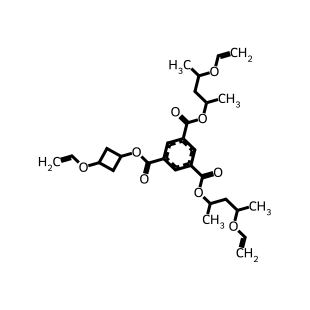 C=COC(C)CC(C)OC(=O)c1cc(C(=O)OC(C)CC(C)OC=C)cc(C(=O)OC2CC(OC=C)C2)c1